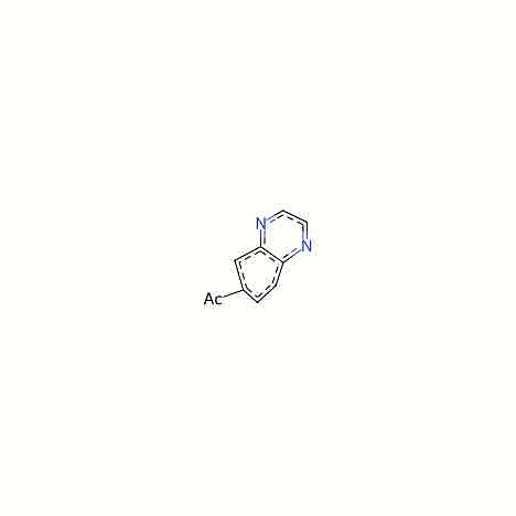 CC(=O)c1ccc2nccnc2c1